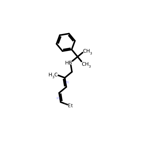 CC/C=C\C=C(/C)CBC(C)(C)c1ccccc1